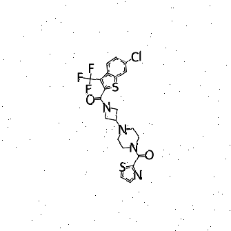 O=C(c1nccs1)N1CCN(C2CN(C(=O)c3sc4cc(Cl)ccc4c3C(F)(F)F)C2)CC1